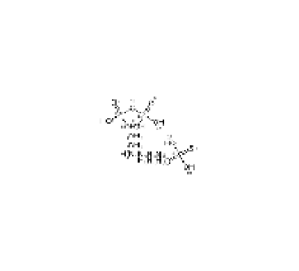 N.N.N.N.N.N.O=P(O)(O)OP(=O)(O)O.O=S(O)(O)=S